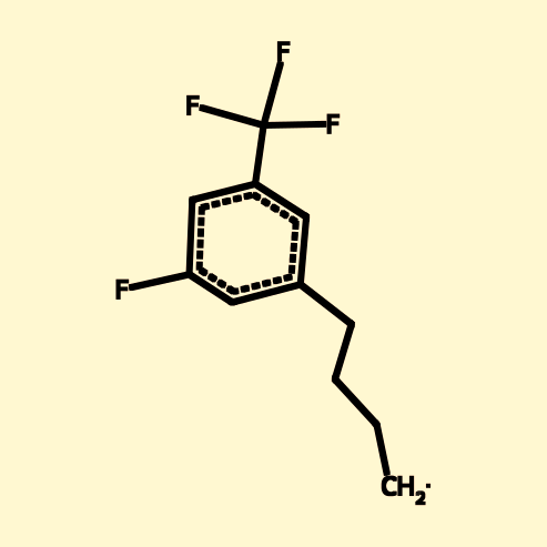 [CH2]CCCc1cc(F)cc(C(F)(F)F)c1